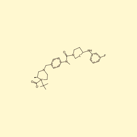 C[C@H]1CN(Cc2ccc(N(C)C(=O)N3CCC(Nc4cccc(F)c4)CC3)cc2)CC[N+]1(C(=O)[O-])C(C)(C)C